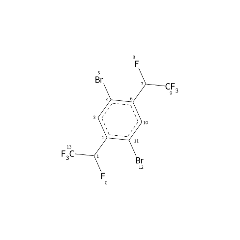 FC(c1cc(Br)c(C(F)C(F)(F)F)cc1Br)C(F)(F)F